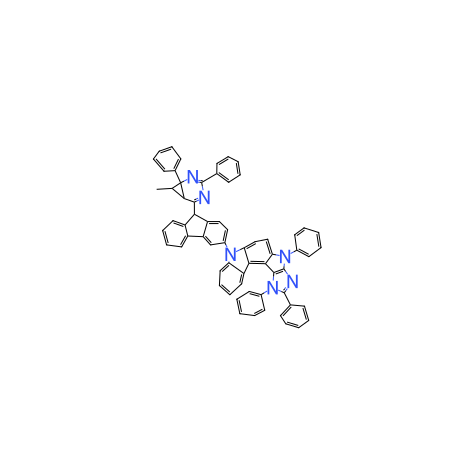 CC1C2C(C3c4ccccc4-c4cc(-n5c6ccccc6c6c7c8c(nc(-c9ccccc9)n8-c8ccccc8)n(-c8ccccc8)c7ccc65)ccc43)=NC(c3ccccc3)=NC12c1ccccc1